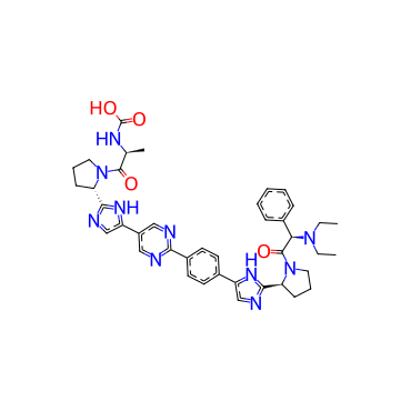 CCN(CC)[C@@H](C(=O)N1CCC[C@H]1c1ncc(-c2ccc(-c3ncc(-c4cnc([C@@H]5CCCN5C(=O)[C@H](C)NC(=O)O)[nH]4)cn3)cc2)[nH]1)c1ccccc1